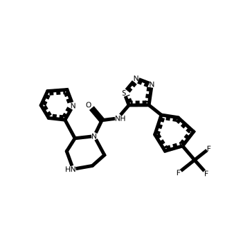 O=C(Nc1snnc1-c1ccc(C(F)(F)F)cc1)N1CCNCC1c1ccccn1